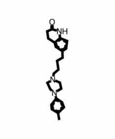 Cc1ccc(N2CCN(CCCCc3ccc4c(c3)CCC(=O)N4)CC2)cc1